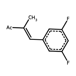 CC(=O)/C(C)=C/c1cc(F)cc(F)c1